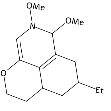 CCC1CC2=C3C(=CN(OC)C2OC)OCCC3C1